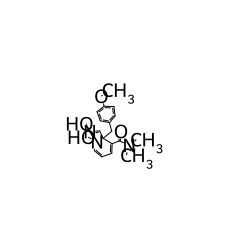 COc1ccc(CC2(C=NO)C(C(=O)N(C)C)=CC=CN2O)cc1